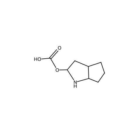 O=C(O)OC1CC2CCCC2N1